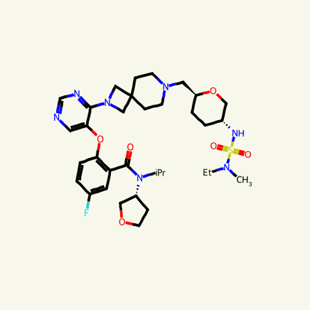 CCN(C)S(=O)(=O)N[C@@H]1CC[C@@H](CN2CCC3(CC2)CN(c2ncncc2Oc2ccc(F)cc2C(=O)N(C(C)C)[C@@H]2CCOC2)C3)OC1